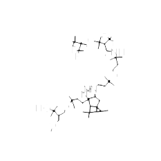 COCC(COC(C)(C)CCC12N=NN(CCC(C)(C)OCCC(C)(C)NC(=O)C(C(F)(F)F)C(C)(C)OCC(F)(C(C)(C)F)C(F)(F)F)C1CC13C(C)C1C(C)(C)C23)C(C)(C)O